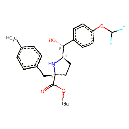 CC(C)(C)OC(=O)[C@@]1(Cc2ccc(C(=O)O)cc2)CC[C@H]([C@H](O)c2ccc(OC(F)F)cc2)N1